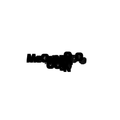 COCC(C)C(=O)N1CCCC(NC(=O)c2sc3nccc4c3c2NC(=O)N4c2ccc(Oc3ccccc3)cc2C)C1